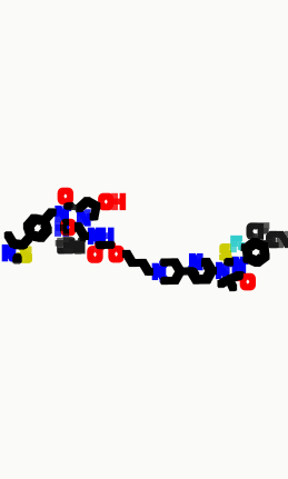 Cc1ncsc1-c1ccc(CNC(=O)[C@@H]2C[C@@H](O)CN2C(=O)[C@@H](NC(=O)COCCCCN2CCC(c3ccc(N4C(=S)N(c5ccc(C#N)c(C(F)(F)F)c5F)C(=O)C4(C)C)cn3)CC2)C(C)(C)C)cc1